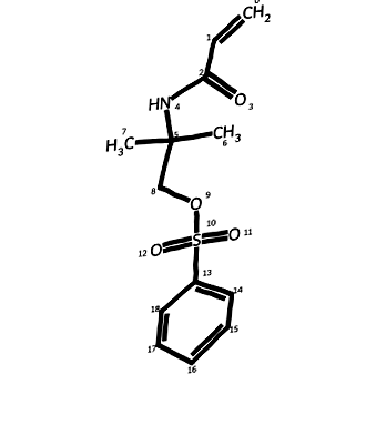 C=CC(=O)NC(C)(C)COS(=O)(=O)c1ccccc1